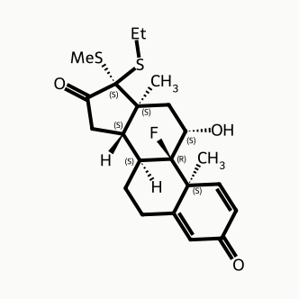 CCS[C@]1(SC)C(=O)C[C@H]2[C@@H]3CCC4=CC(=O)C=C[C@]4(C)[C@@]3(F)[C@@H](O)C[C@@]21C